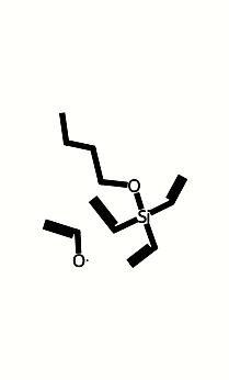 C=C[O].C=C[Si](C=C)(C=C)OCCCC